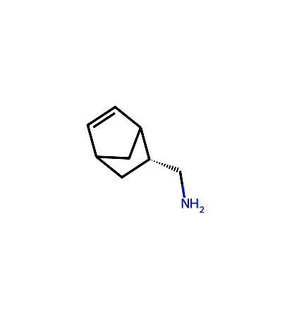 NC[C@@H]1CC2C=CC1C2